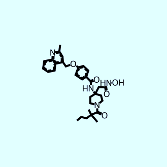 CCCC(C)(C)C(=O)N1CCC(CC(=O)NO)(NC(=O)c2ccc(OCc3cc(C)nc4ccccc34)cc2)CC1